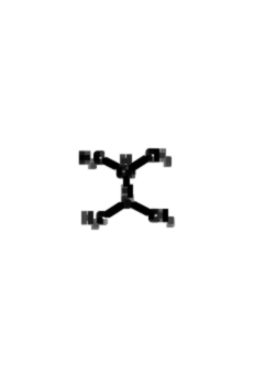 C[SiH](C)[GeH]([CH3])[CH3]